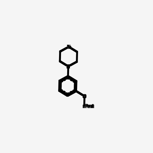 CCCCCOc1cccc(N2CC[N]CC2)c1